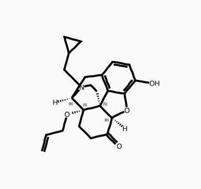 C=CCO[C@@]12CCC(=O)[C@@H]3Oc4c(O)ccc5c4[C@@]31CCN(CC1CC1)[C@@H]2C5